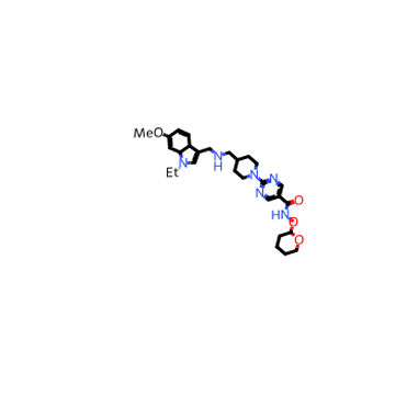 CCN1C=C(CNCC2CCN(c3ncc(C(=O)NOC4CCCCO4)cn3)CC2)C2C=CC(OC)=CC21